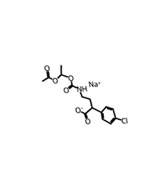 CC(=O)OC(C)OC(=O)NCCC(C(=O)[O-])c1ccc(Cl)cc1.[Na+]